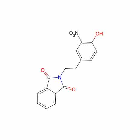 O=C1c2ccccc2C(=O)N1CCc1ccc(O)c([N+](=O)[O-])c1